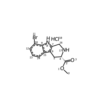 COC(=O)[C@@H]1Cc2c([nH]c3c(Br)cccc23)CN1.Cl